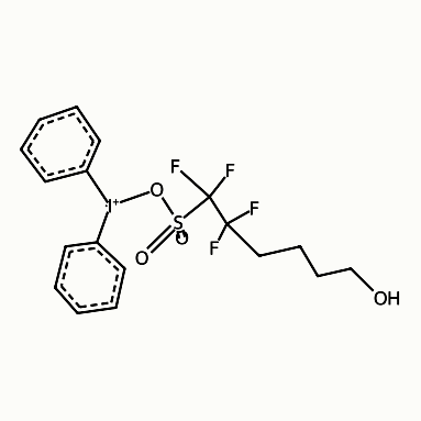 O=S(=O)(O[I+](c1ccccc1)c1ccccc1)C(F)(F)C(F)(F)CCCCO